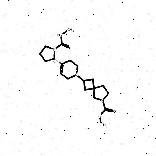 CNC(=O)N1CCC[C@H]1C1=CCN(C2CC3(CCN(C(=O)OC)C3)C2)CC1